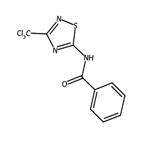 O=C(Nc1nc(C(Cl)(Cl)Cl)ns1)c1ccccc1